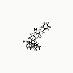 CCC(C(=O)O)n1c2c(c3cc(F)cc(Cl)c31)C[C@@H](NC(=O)CCc1ccccc1)CC2